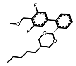 CCCCC[C@H]1CO[C@H](c2ccccc2-c2cc(F)c(COC)c(F)c2)OC1